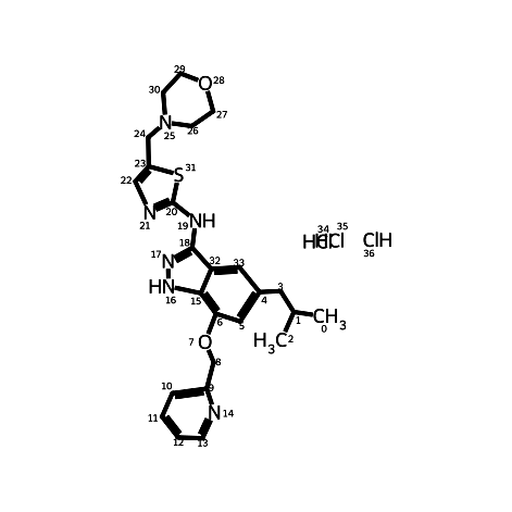 CC(C)Cc1cc(OCc2ccccn2)c2[nH]nc(Nc3ncc(CN4CCOCC4)s3)c2c1.Cl.Cl.Cl